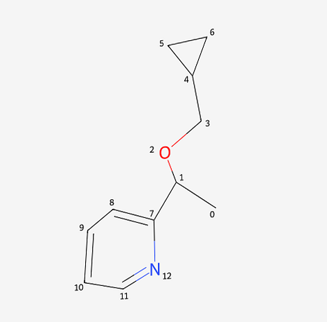 CC(OCC1CC1)c1ccccn1